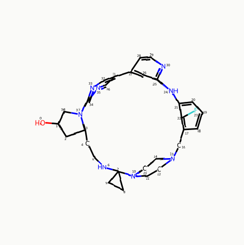 OC1CC2CCNC3(CC3)N3CCN(CC3)Cc3cccc(c3F)Nc3cc(ccn3)-c3cnc(nc3)N2C1